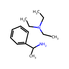 CC(N)c1ccccc1.CCN(CC)CC